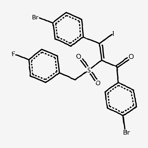 O=C(C(=C(I)c1ccc(Br)cc1)S(=O)(=O)Cc1ccc(F)cc1)c1ccc(Br)cc1